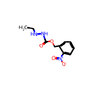 [CH2]CNNC(=O)OCc1ccccc1[N+](=O)[O-]